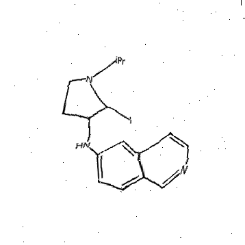 CC(C)N1CCC(Nc2ccc3cnccc3c2)C1I